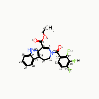 CCOC(=O)C1=CN(C(=O)c2ccc(F)c(F)c2F)CCc2c1[nH]c1ccccc21